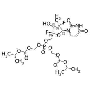 CC(C)OC(=O)OCOP(=O)(OCOC(=O)OC(C)C)OC[C@@]1(F)O[C@H](n2ccc(=O)[nH]c2=O)[C@](C)(F)[C@@H]1O